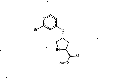 COC(=O)[C@@H]1C[C@@H](Oc2ccnc(Br)c2)CN1